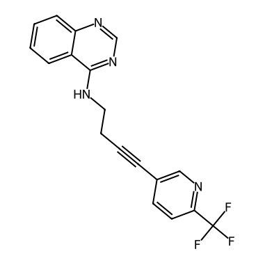 FC(F)(F)c1ccc(C#CCCNc2ncnc3ccccc23)cn1